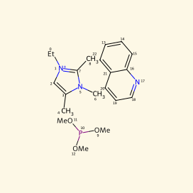 CC[n+]1cc(C)n(C)c1C.COP(OC)OC.c1ccc2ncccc2c1